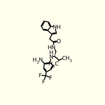 CC(C)[C@H](CNC(=O)Cc1c[nH]c2ccccc12)Nc1ccc(C(F)(F)F)cc1N